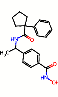 CC(NC(=O)C1(c2ccccc2)CCCC1)c1ccc(C(=O)NO)cc1